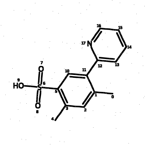 Cc1cc(C)c(S(=O)(=O)O)cc1-c1ccccn1